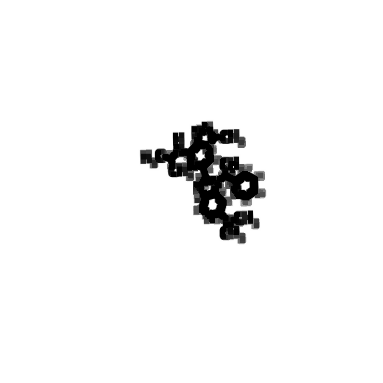 Cc1nnc2c(NC(C)C)nc(-c3nc4cnc(N(C)C)cc4n3[C@@H](C)c3ccccn3)cn12